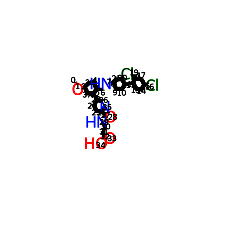 COc1ccc(CNc2ccc(-c3ccc(Cl)cc3Cl)cc2)c(-c2ccc(C(=O)NCCC(=O)O)nc2)c1